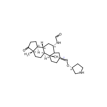 C[C@]12CC/C(=N\O[C@@H]3CCNC3)CC1[C@@H](NC=O)C[C@@H]1[C@@H]2CC[C@]2(C)C(=O)CC[C@@H]12